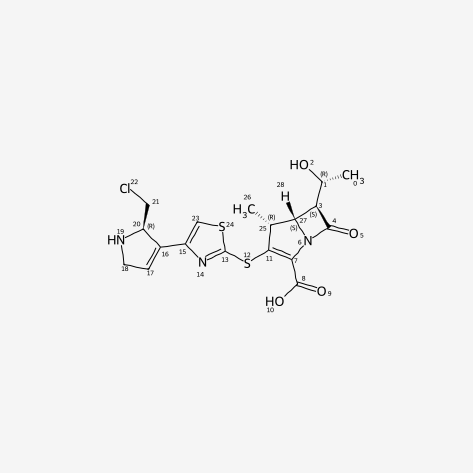 C[C@@H](O)[C@H]1C(=O)N2C(C(=O)O)=C(Sc3nc(C4=CCN[C@H]4CCl)cs3)[C@H](C)[C@H]12